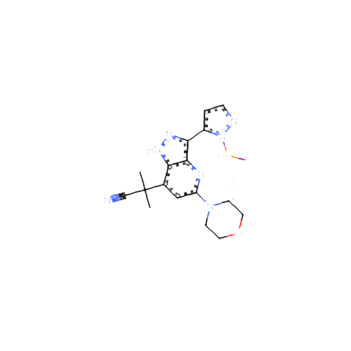 C[C@@H]1COCCN1c1cc(C(C)(C)C#N)c2[nH]nc(-c3ccnn3PI)c2n1